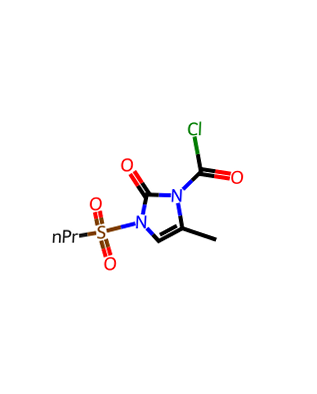 CCCS(=O)(=O)n1cc(C)n(C(=O)Cl)c1=O